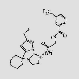 O=C(CNC(=O)c1cccc(C(F)(F)F)c1)N[C@@H]1CCN(C2(c3cc(CF)ns3)CCCCC2)C1